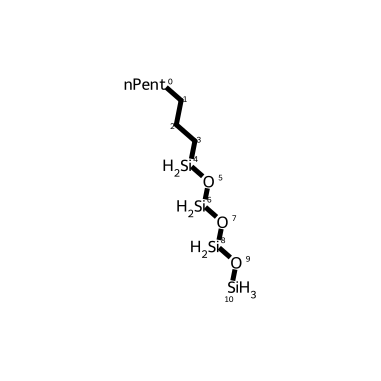 CCCCCCCC[SiH2]O[SiH2]O[SiH2]O[SiH3]